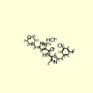 Cc1nc(Cc2cc(F)cc(Cl)c2)sc1NC(=O)c1cc(CN2CCOCC2)nn1C.Cl